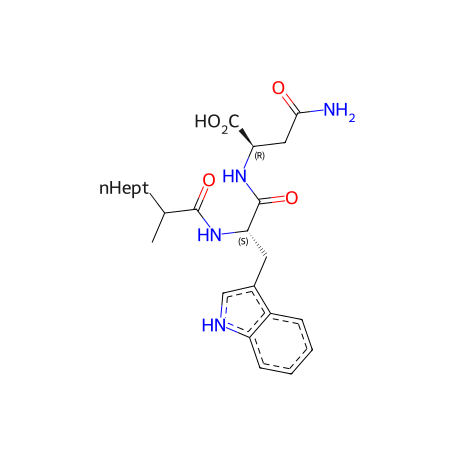 CCCCCCCC(C)C(=O)N[C@@H](Cc1c[nH]c2ccccc12)C(=O)N[C@H](CC(N)=O)C(=O)O